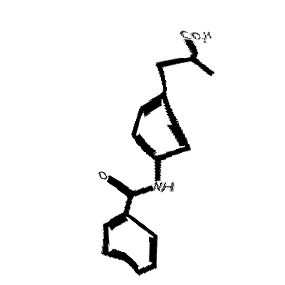 CC(Cc1ccc(NC(=O)c2ccccc2)cc1)C(=O)O